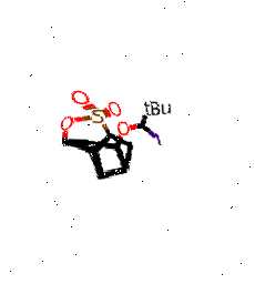 CC(C)(C)C(I)OC1C2CC3C1OS(=O)(=O)C3C2